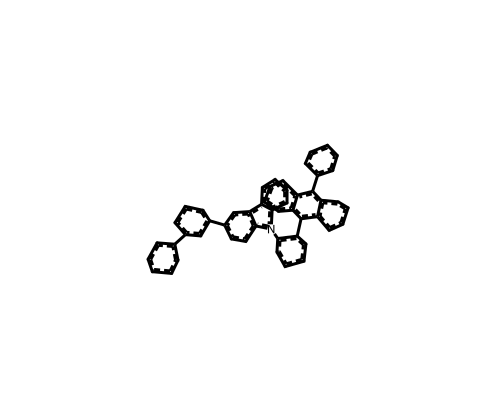 c1ccc(-c2cccc(-c3ccc4c(c3)c3ccccc3n4-c3ccccc3-c3c4ccccc4c(-c4ccccc4)c4ccccc34)c2)cc1